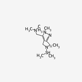 C[C@H]1c2nn(C)c(CN(C)C)c2CN1[SH](C)C